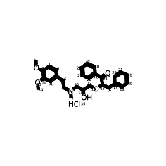 COc1ccc(CCN(C)CC(O)COC(Cc2ccccc2)C(=O)c2ccccc2)cc1OC.Cl